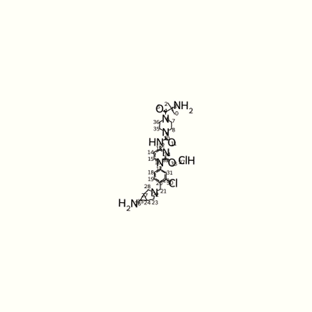 CC(C)(N)C(=O)N1CCN(C(=O)Nc2ccn(-c3ccc(CN4CC5C(N)C5C4)c(Cl)c3)c(=O)n2)CC1.Cl